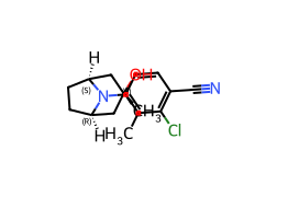 Cc1c(N2[C@@H]3CC[C@H]2C[C@](C)(O)C3)ccc(C#N)c1Cl